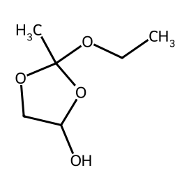 CCOC1(C)OCC(O)O1